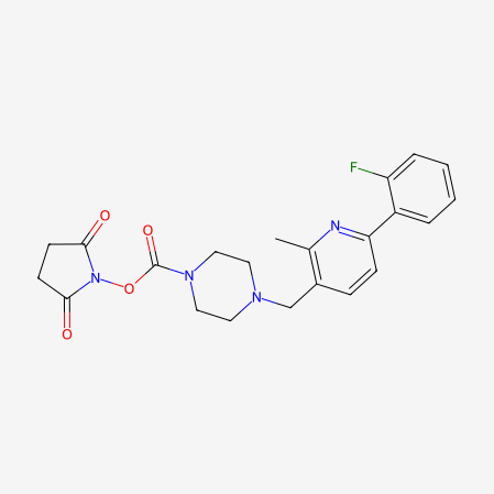 Cc1nc(-c2ccccc2F)ccc1CN1CCN(C(=O)ON2C(=O)CCC2=O)CC1